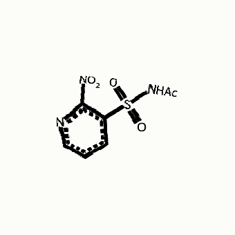 CC(=O)NS(=O)(=O)c1cccnc1[N+](=O)[O-]